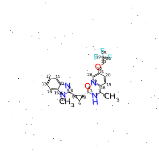 CC(NC(=O)[C@@H]1C[C@H]1c1nc2ccccc2n1C)c1ccc(OCC(F)(F)F)cn1